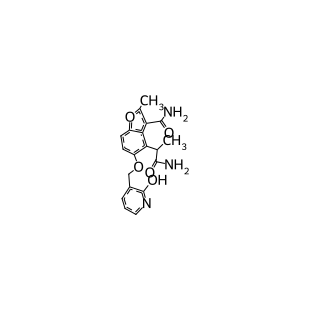 Cc1oc2ccc(OCc3cccnc3O)c(C(C)C(N)=O)c2c1C(N)=O